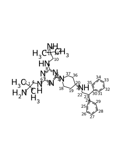 CC(C)(N)CNc1nc(NCC(C)(C)N)nc(N2CCC(NCC(c3ccccc3)c3ccccc3)CC2)n1